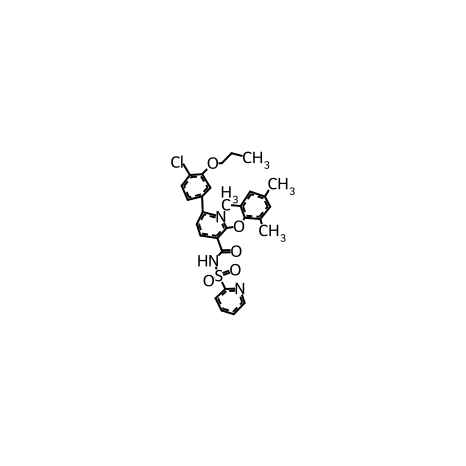 CCCOc1cc(-c2ccc(C(=O)NS(=O)(=O)c3ccccn3)c(Oc3c(C)cc(C)cc3C)n2)ccc1Cl